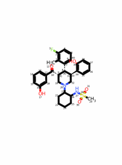 Cc1c(F)cccc1[C@H]1[C@@H](C(=O)c2cccc(O)c2)CN(C2CCCCC2NS(C)(=O)=O)C[C@@H]1c1[c]cccc1O